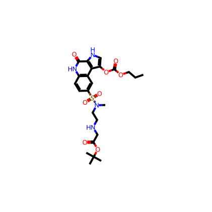 CCCOC(=O)Oc1c[nH]c2c(=O)[nH]c3ccc(S(=O)(=O)N(C)CCNCC(=O)OC(C)(C)C)cc3c12